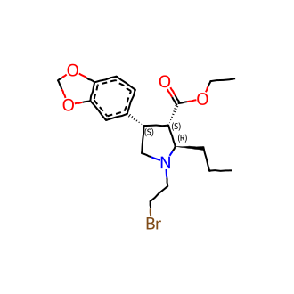 CCC[C@@H]1[C@@H](C(=O)OCC)[C@@H](c2ccc3c(c2)OCO3)CN1CCBr